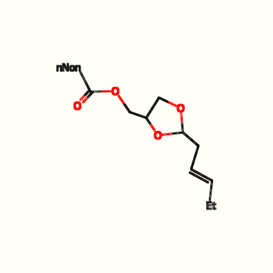 CCC=CCC1OCC(COC(=O)CCCCCCCCC)O1